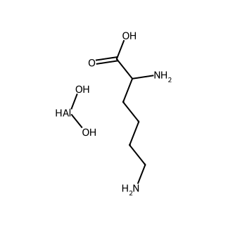 NCCCCC(N)C(=O)O.[OH][AlH][OH]